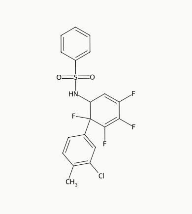 Cc1ccc(C2(F)C(F)=C(F)C(F)=CC2NS(=O)(=O)c2ccccc2)cc1Cl